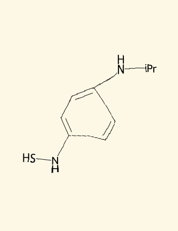 CC(C)Nc1ccc(NS)cc1